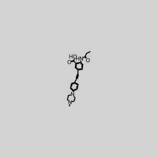 CCC(=O)Nc1ccc(C#Cc2ccc(N3CCN(C)CC3)cc2)cc1C(=O)O